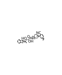 C=C([C@H](O)C(O)C(=O)NCC1CCN(c2cc(F)ccc2C#N)CC1)N1Cc2ccccc2C1